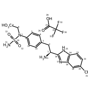 N[C@@H](Cc1ccc(N(CC(=O)O)S(N)(=O)=O)cc1)c1nc2cc(C(F)(F)F)ccc2[nH]1.O=C(O)C(F)(F)F